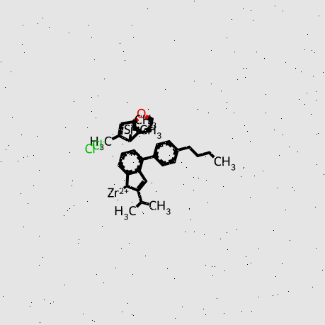 CC1=C2c3occc3C1[Si]2(C)C.CCCCc1ccc(-c2cccc3c2C=C(C(C)C)[CH]3[Zr+2])cc1.[Cl-].[Cl-]